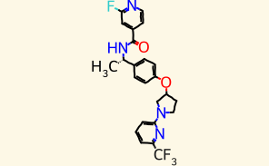 C[C@H](NC(=O)c1ccnc(F)c1)c1ccc(OC2CCN(c3cccc(C(F)(F)F)n3)C2)cc1